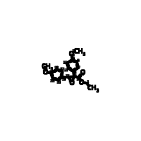 CCOC(=O)C1(c2ccc(OC)cc2)OC1c1ccc(OC)cc1